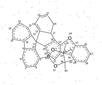 CC1(C)OB(c2cccc3c2C2(C4=CC=CCC4c4c2ccc2c4oc4ccccc42)c2ccccc2-3)OC1(C)C